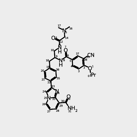 CC(C)Oc1ccc(C(=O)NC(CNC(=O)CN(C)C)Cc2ccc(-c3cn4cccc(C(N)=O)c4n3)cc2)cc1C#N